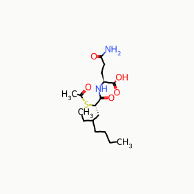 CCCCC(CC)C[C@H](SC(C)=O)C(=O)N[C@@H](CCC(N)=O)C(=O)O